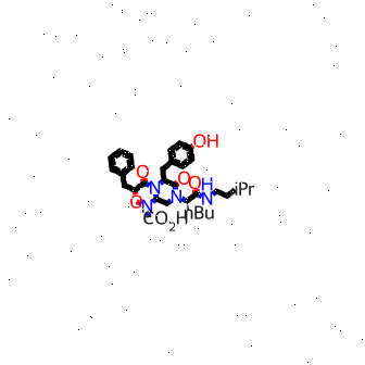 CCCC[C@@H](C(=O)NCCC(C)C)N1CC2N(C(=O)O)OC(Cc3ccccc3)C(=O)N2C(Cc2ccc(O)cc2)C1=O